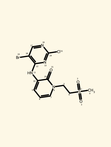 CS(=O)(=O)CCn1cccc(Nc2nc(Cl)ncc2Br)c1=O